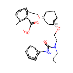 CCCN(CCO[C@H]1CCC[C@@H](OCc2cccc(C)c2C(=O)O)C1)C(=O)Nc1ccccc1